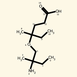 CCC(C)(N)COC(C)(CC)CCC(=O)O